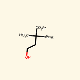 CCCCCC(CCO)(C(=O)O)C(=O)OCC